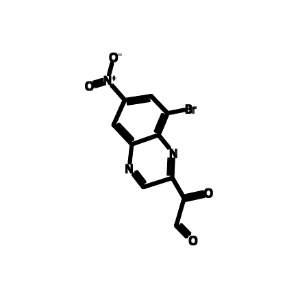 O=CC(=O)c1cnc2cc([N+](=O)[O-])cc(Br)c2n1